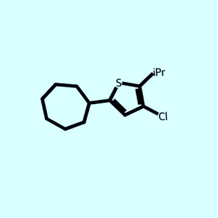 CC(C)c1sc(C2CCCCCC2)cc1Cl